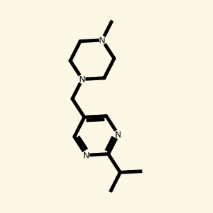 CC(C)c1ncc(CN2CCN(C)CC2)cn1